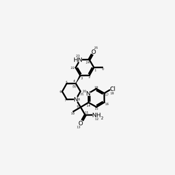 Cc1cc([C@@H]2CCCN(C(C)(C(N)=O)c3ccc(Cl)cn3)C2)c[nH]c1=O